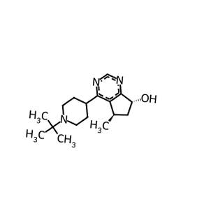 C[C@@H]1C[C@@H](O)c2ncnc(C3CCN(C(C)(C)C)CC3)c21